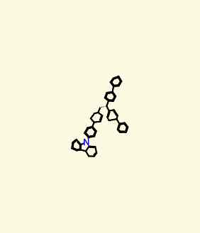 C1=CCC2C(=C1)N(c1ccc(C3C=CC(C[C@@H](C4=CCC(c5ccccc5)C=C4)c4ccc(-c5ccccc5)cc4)CC3)cc1)c1ccccc12